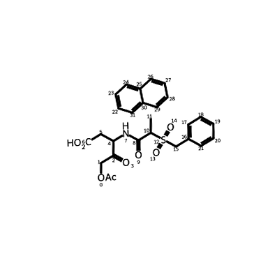 CC(=O)OCC(=O)C(CC(=O)O)NC(=O)C(C)S(=O)(=O)Cc1ccccc1.c1ccc2ccccc2c1